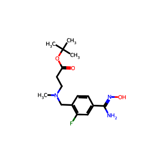 CN(CCC(=O)OC(C)(C)C)Cc1ccc(C(N)=NO)cc1F